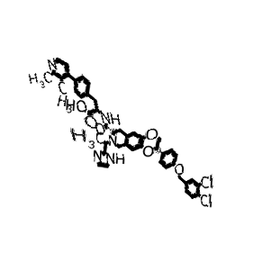 Cc1nccc(-c2ccc(CC(NC(=O)[C@@H]3Cc4cc5c(cc4CN3C(C)c3ncc[nH]3)O[C@@H](c3ccc(OCc4ccc(Cl)c(Cl)c4)cc3)CO5)C(=O)O)cc2)c1C